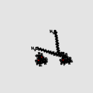 CCCCCCCCCCCCCCCCCc1nc[nH]c1CCCCCCCCCCCCCCCCC.Fc1c(F)c(F)[c]([Al]([c]2c(F)c(F)c(F)c(F)c2F)[c]2c(F)c(F)c(F)c(F)c2F)c(F)c1F.Fc1c(F)c(F)[c]([Al]([c]2c(F)c(F)c(F)c(F)c2F)[c]2c(F)c(F)c(F)c(F)c2F)c(F)c1F